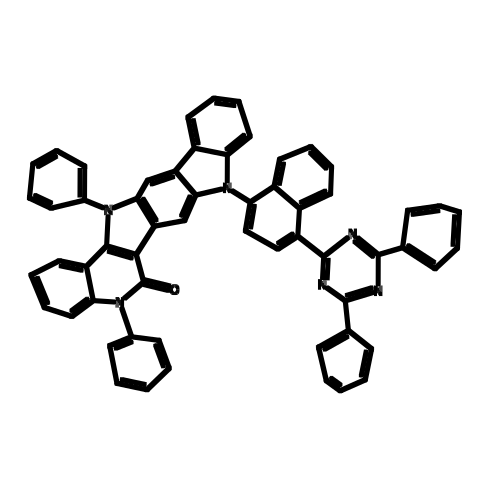 O=c1c2c3cc4c(cc3n(-c3ccccc3)c2c2ccccc2n1-c1ccccc1)c1ccccc1n4-c1ccc(-c2nc(-c3ccccc3)nc(-c3ccccc3)n2)c2ccccc12